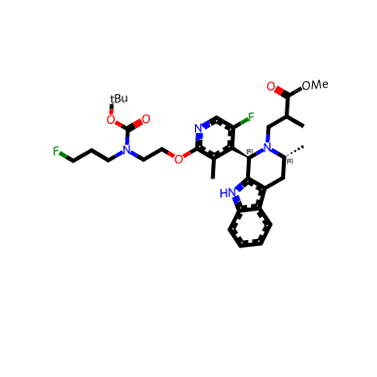 COC(=O)C(C)CN1[C@H](c2c(F)cnc(OCCN(CCCF)C(=O)OC(C)(C)C)c2C)c2[nH]c3ccccc3c2C[C@H]1C